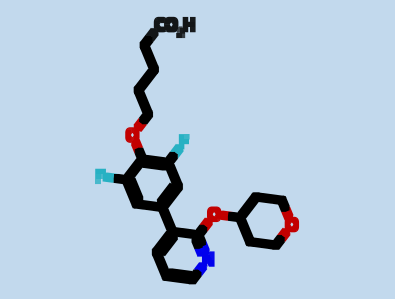 O=C(O)CCCCOc1c(F)cc(-c2cccnc2OC2CCOCC2)cc1F